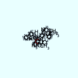 CC1(C)C2=C(CCCC2)N(C2=CC(N3c4ccccc4C(C)(C)C4CCCCC43)=C(C#N)CC2C2=NC(C3C=CCCC3)NC(C3C=CC=C4C5=CC=CCC5SC43)N2)C2CCCCC21